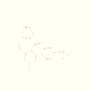 Cc1ccc2c(c1)CCc1cc(C)ccc1C2=Cc1cccc(NS(C)(=O)=O)c1